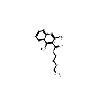 CCCCCOC(=O)c1c(O)cc2ccccc2c1O